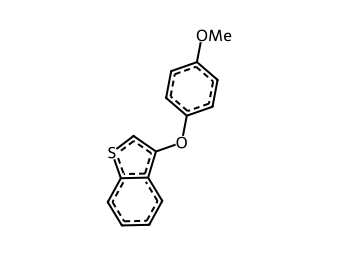 COc1ccc(Oc2csc3ccccc23)cc1